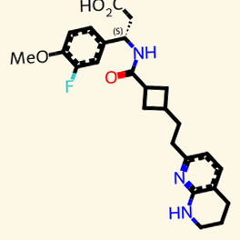 COc1ccc([C@H](CC(=O)O)NC(=O)C2CC(CCc3ccc4c(n3)NCCC4)C2)cc1F